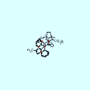 Cc1ccc(CN(C(=O)N2[C@H]3CC[C@@H]2[C@@H](C(=O)O)N(C(=O)N(c2ccccc2)c2ccccc2)C3)C2CC2)s1